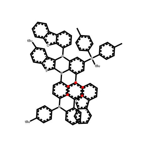 Cc1ccc(S(c2ccc(C)cc2)(c2cc3c4c(c2)N(c2cccc5c2oc2ccccc25)c2c(sc5ccc(C(C)(C)C)cc25)B4c2ccc(N(c4ccc(C(C)(C)C)cc4)c4ccccc4-c4ccccc4)cc2N3c2cccc3c2oc2ccccc23)C(C)(C)C)cc1